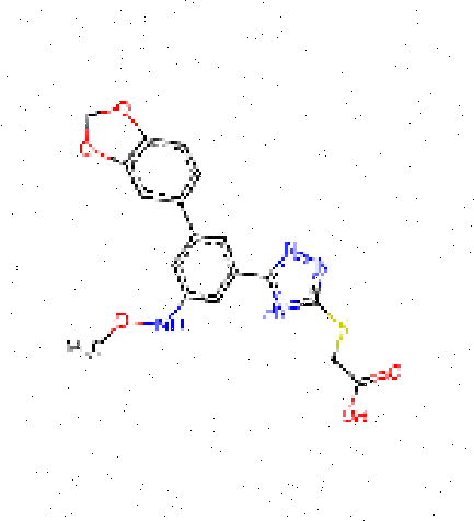 CONc1cc(-c2ccc3c(c2)OCO3)cc(-c2nnc(SCC(=O)O)[nH]2)c1